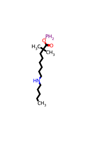 CCCCCNCCCCCCC(C)(C)C(=O)OP